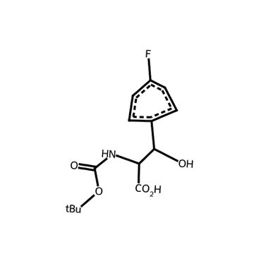 CC(C)(C)OC(=O)NC(C(=O)O)C(O)c1ccc(F)cc1